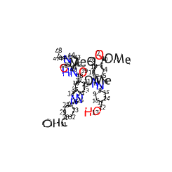 COC(=O)c1cc2cn(C3CCC(CO)CC3)nc2cc1OC.COc1cc2nn(C3CCC(C=O)CC3)cc2cc1C(=O)Nc1cccn(C2CC2)c1=O